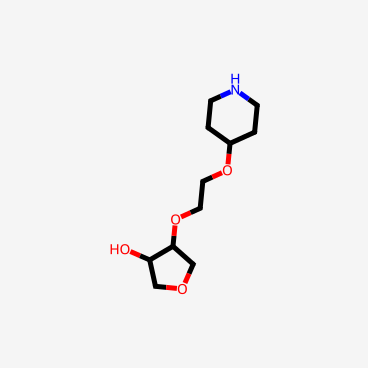 OC1COCC1OCCOC1CCNCC1